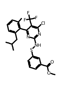 COC(=O)c1cccc(SNc2nc(Cl)c(C(F)(F)F)c(-c3c(C)cccc3CC(C)C)n2)c1